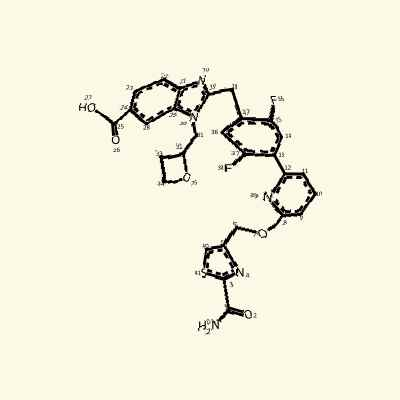 NC(=O)c1nc(COc2cccc(-c3cc(F)c(Cc4nc5ccc(C(=O)O)cc5n4CC4CCO4)cc3F)n2)cs1